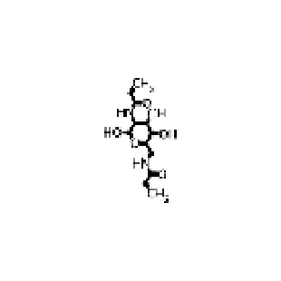 C=CC(=O)NCC1OC(O)C(NC(=O)C=C)C(O)C1O